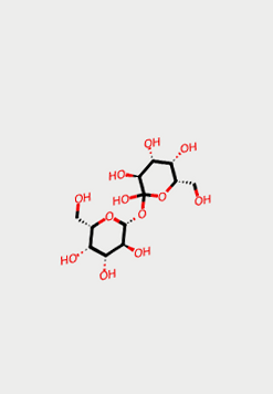 OC[C@@H]1O[C@H](OC2(O)O[C@@H](CO)[C@@H](O)[C@@H](O)[C@@H]2O)[C@@H](O)[C@H](O)[C@@H]1O